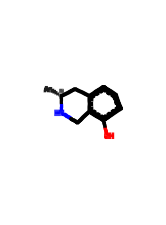 CC(=O)[C@@H]1Cc2cccc(O)c2CN1